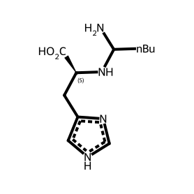 CCCCC(N)N[C@@H](Cc1c[nH]cn1)C(=O)O